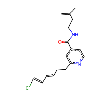 C=C(C)CCNC(=O)c1ccnc(CC/C=C/C=C/Cl)c1